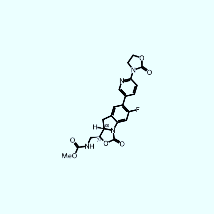 COC(=O)NC[C@@H]1OC(=O)N2c3cc(F)c(-c4ccc(N5CCOC5=O)nc4)cc3C[C@@H]12